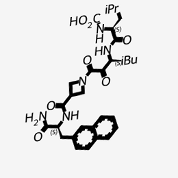 CC[C@H](C)C(NC(=O)[C@H](CC(C)C)NC(=O)O)C(=O)C(=O)N1CC(C(=O)N[C@@H](Cc2ccc3ccccc3c2)C(N)=O)C1